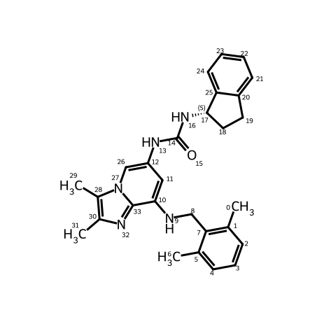 Cc1cccc(C)c1CNc1cc(NC(=O)N[C@H]2CCc3ccccc32)cn2c(C)c(C)nc12